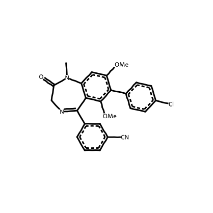 COc1cc2c(c(OC)c1-c1ccc(Cl)cc1)C(c1cccc(C#N)c1)=NCC(=O)N2C